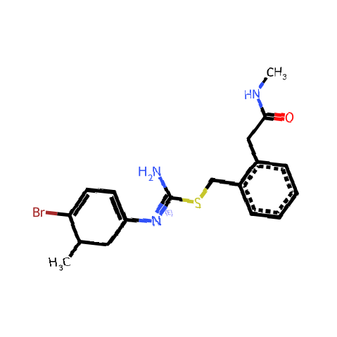 CNC(=O)Cc1ccccc1CS/C(N)=N/C1=CC=C(Br)C(C)C1